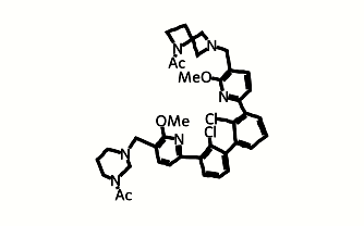 COc1nc(-c2cccc(-c3cccc(-c4ccc(CN5CC6(CCN6C(C)=O)C5)c(OC)n4)c3Cl)c2Cl)ccc1CN1CCCN(C(C)=O)C1